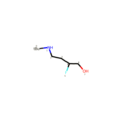 CC(C)(C)NCCC(F)CO